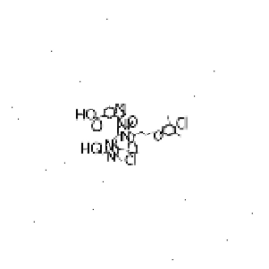 Cc1cc(OCCCc2c3n(c4c(-c5c(C)nc(CO)nc5C)c(Cl)ccc24)C(C)CN(c2cn(C)c4ccc(C(=O)O)cc24)C3=O)cc(C)c1Cl